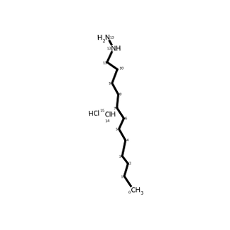 CCCCCCCCCCCCNN.Cl.Cl